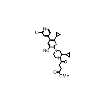 COC(=O)CCC(=O)N1CCN(c2nc(C3CC3)c(-c3ccnc(Cl)c3)cc2C#N)C[C@H]1C1CC1